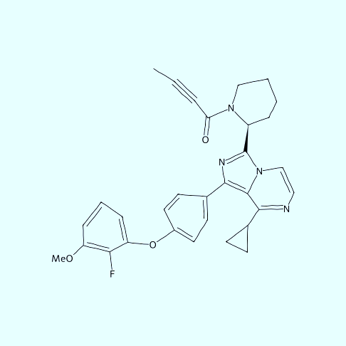 CC#CC(=O)N1CCCC[C@H]1c1nc(-c2ccc(Oc3cccc(OC)c3F)cc2)c2c(C3CC3)nccn12